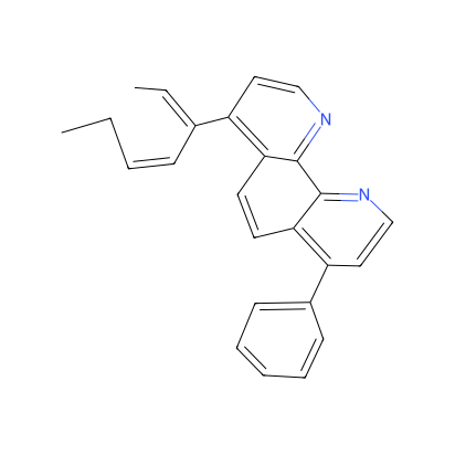 C/C=C(\C=C/CC)c1ccnc2c1ccc1c(-c3ccccc3)ccnc12